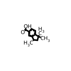 CC1CC(C)(C)c2ccc(C(=O)O)cc21